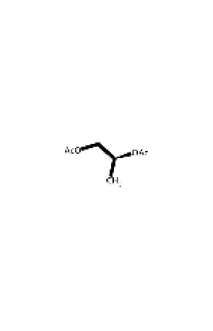 CC(=O)OC[C@H](C)OC(C)=O